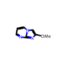 COc1cn2cccnc2n1